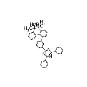 CC1(C)c2ccccc2-c2c(-c3cccc(-c4nc(-c5ccccc5)nc(-c5ccccc5)n4)c3)cccc2C1(C)C